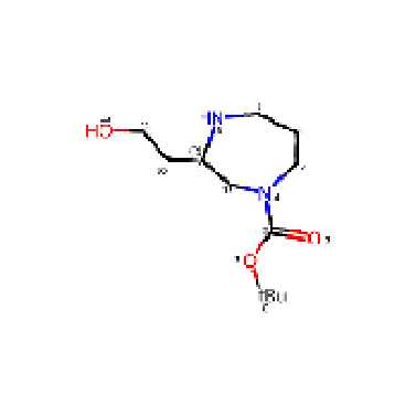 CC(C)(C)OC(=O)N1CCCN[C@H](CCO)C1